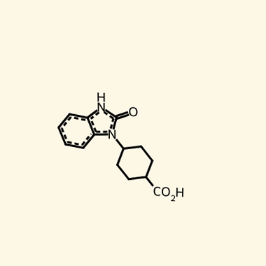 O=C(O)C1CCC(n2c(=O)[nH]c3ccccc32)CC1